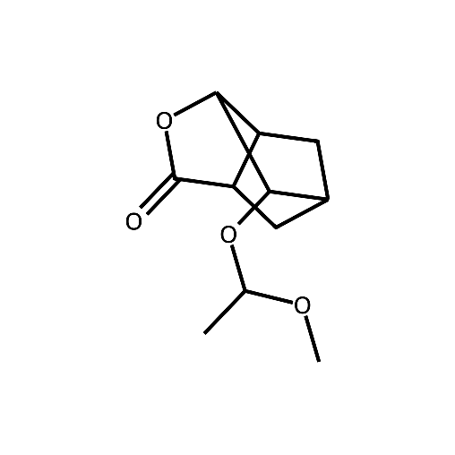 COC(C)OC1C2CC3C(=O)OC1C3C2